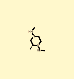 CNN1CCN(NC)[C@@H](C)C1